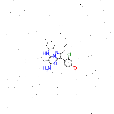 CCCc1nn2c(NC(CC)CC)c(CCC)c(N)nc2c1-c1ccc(OC)cc1Cl